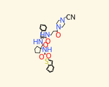 N#CCN1CCN(C(=O)CCNC(=O)[C@@H](Cc2ccccc2)NC(=O)C2(NC(=O)Oc3cc4ccccc4s3)CCCC2)CC1